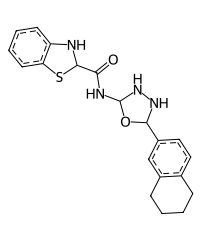 O=C(NC1NNC(c2ccc3c(c2)CCCC3)O1)C1Nc2ccccc2S1